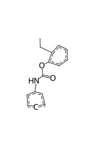 CCc1ccccc1OC(=O)Nc1ccccc1